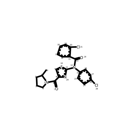 CC1CCCN1C(=O)c1csc(N(C(=O)c2ccccc2Cl)c2ccc(Cl)cc2)n1